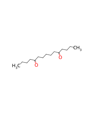 CCCCC(=O)CCCCCC(=O)CCCC